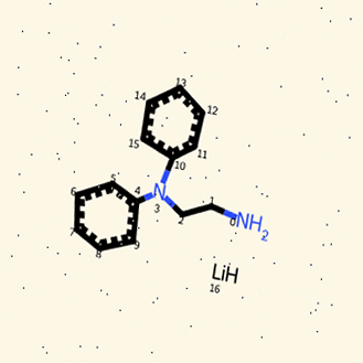 NCCN(c1ccccc1)c1ccccc1.[LiH]